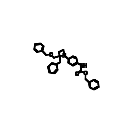 O=C(Nc1ccc(N2CCC2(COCc2ccccc2)Cc2ccccc2)cc1)OCc1ccccc1